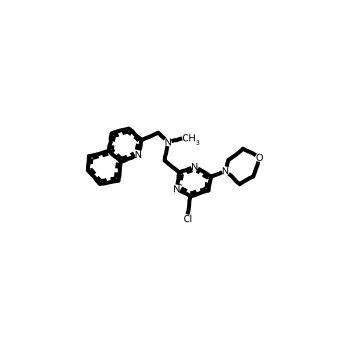 CN(Cc1ccc2ccccc2n1)Cc1nc(Cl)cc(N2CCOCC2)n1